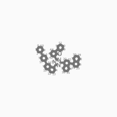 c1ccc(-c2ccc(-c3ccc4cccc(-c5nc(-c6ccc(-c7cccc8ccccc78)c7ccccc67)nc(-c6cccc7c6oc6ccccc67)n5)c4c3)cc2)cc1